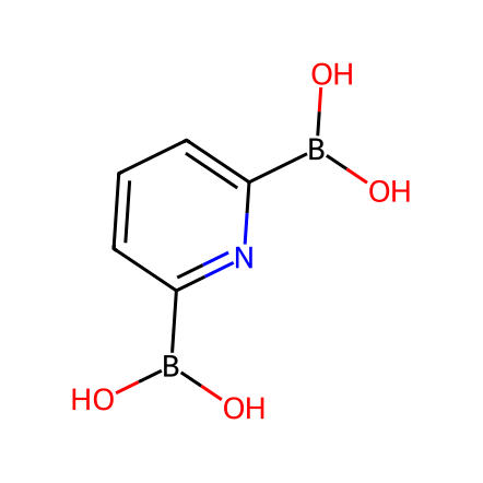 OB(O)c1cccc(B(O)O)n1